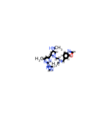 CNC1CC(c2cc(C)nc(-n3cncn3)n2)N(CCN(C)Cc2ccc3ncoc3c2)C1